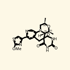 COc1nc(-c2cc3c(cn2)N2C[C@@H](C)O[C@@H](C)[C@@H]2C2(C3)C(=O)NC(=O)NC2=O)cs1